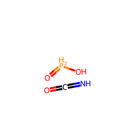 N=C=O.O=[PH2]O